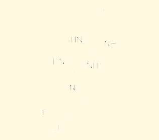 N=C(NC(=N)N1CCC(F)(F)C1)NC1CC1